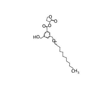 CCCCCCCCCCCCOCc1cc(CO)cc(C(=O)OC2CCOC2=O)c1